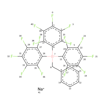 Fc1c(F)c(F)c([B-](Cc2ccccc2)(c2c(F)c(F)c(F)c(F)c2F)c2c(F)c(F)c(F)c(F)c2F)c(F)c1F.[Na+]